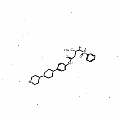 O=C(C[C@H](NS(=O)(=O)c1ccccc1)C(=O)O)Nc1ccc(N2CCN(C3CCNCC3)CC2)cc1